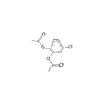 CC(=O)Oc1c[c]c(Cl)cc1OC(C)=O